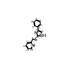 c1ccc(-c2c[nH]c(SCc3ccccn3)n2)cc1